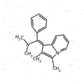 CC1=C(C)[n+]2ccccc2C1=C(c1ccccc1)N(C)C